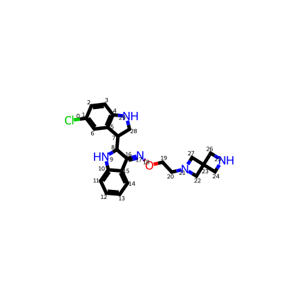 Clc1ccc2c(c1)C(C1Nc3ccccc3/C1=N\OCCN1CC3(CNC3)C1)CN2